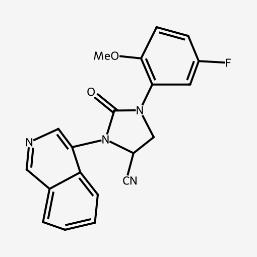 COc1ccc(F)cc1N1CC(C#N)N(c2cncc3ccccc23)C1=O